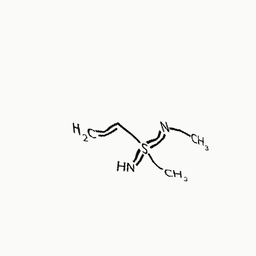 C=CS(C)(=N)=NC